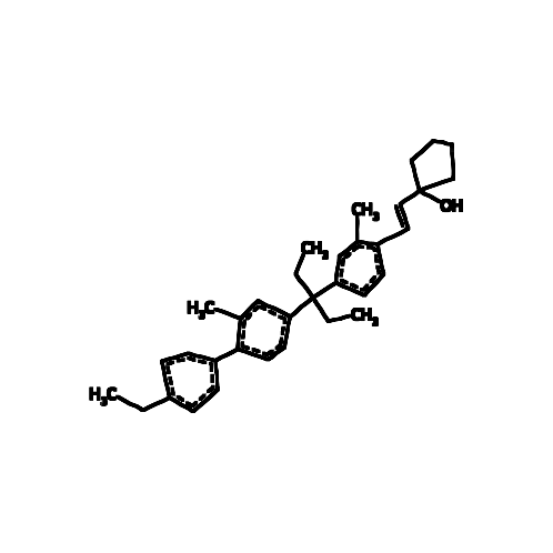 CCc1ccc(-c2ccc(C(CC)(CC)c3ccc(/C=C/C4(O)CCCC4)c(C)c3)cc2C)cc1